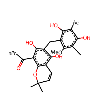 CCCC(=O)c1c(O)c(Cc2c(O)c(C(C)=O)c(O)c(C)c2OC)c(O)c2c1OC(C)(C)C=C2